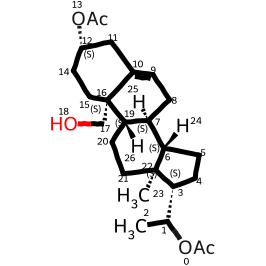 CC(=O)OC(C)[C@H]1CC[C@H]2[C@@H]3CC=C4C[C@@H](OC(C)=O)CC[C@]4(CO)[C@H]3CC[C@]12C